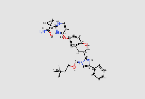 C[Si](C)(C)CCOCn1cc(-c2ccccc2)nc1C1COc2ccc(Oc3ccnc(C4(C(N)=O)CC4)n3)cc2C1